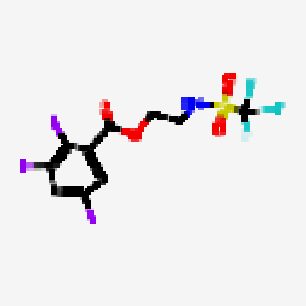 O=C(OCCNS(=O)(=O)C(F)(F)F)c1cc(I)cc(I)c1I